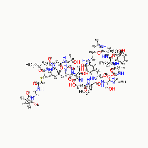 CC[C@H](C)[C@H](NC(=O)[C@H](CO)NC(=O)[C@H](Cc1ccc(O)cc1)NC(=O)[C@H](CC(=O)O)NC(=O)[C@H](CO)NC(=O)[C@@H](NC(=O)[C@H](Cc1ccccc1)NC(=O)[C@@H](NC(=O)CNC(=O)[C@H](CCC(=O)O)NC(=O)CSCC(=O)NCCN1C(=O)[C@H]2C[C@H]2C1=O)[C@@H](C)O)[C@@H](C)O)C(=O)N[C@@H](Cc1ccc(O)cc1)C(=O)N[C@@H](CC(C)C)C(=O)N[C@@H](CC(=O)O)C(=O)N[C@H](C)CCCCN